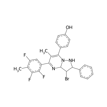 CC1=C(c2ccc(O)cc2)N2NC(c3ccccc3)C(Br)C2N=C1c1cc(F)c(C)c(F)c1F